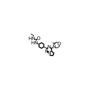 CCNC(=O)Nc1ccc(-c2nc(N3CCOC[C@H]3C)c3cccn3n2)cc1